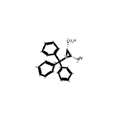 CC(C)[C@H]1[C@@H](C(=O)O)N1C(c1ccccc1)(c1ccccc1)c1ccccc1